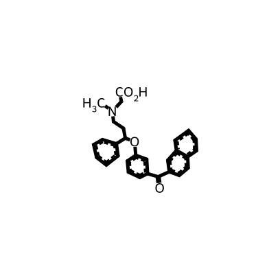 CN(CCC(Oc1cccc(C(=O)c2ccc3ccccc3c2)c1)c1ccccc1)CC(=O)O